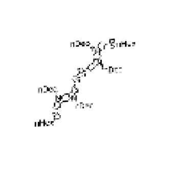 CCCCCCCCCCCCn1c2ccc(-c3ccc(CCCCCC)s3)cc2c2cc3c(cc21)c1cc(-c2ccc(-c4ccc(-c5ccc6c(c5)c5cc7c(cc5n6CCCCCCCCCCCC)c5cc(-c6ccc(CCCCCC)s6)ccc5n7CCCCCCCCCCCC)s4)s2)ccc1n3CCCCCCCCCCCC